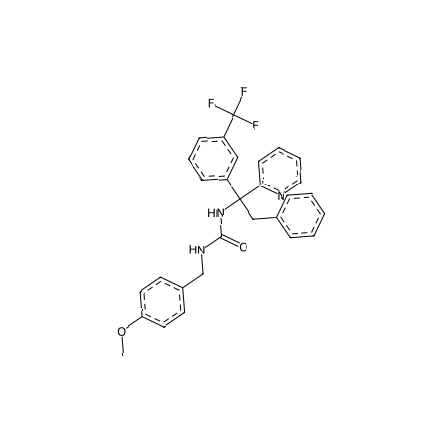 COc1ccc(CNC(=O)NC(Cc2ccccc2)(c2cccc(C(F)(F)F)c2)c2ccccn2)cc1